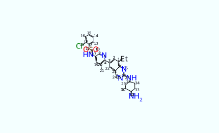 CCc1cc(-c2ncc(NS(=O)(=O)c3ccccc3Cl)cc2C)cc2cnc(NC3CCC(N)CC3)nc12